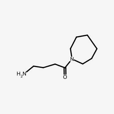 NCCCC(=O)N1CCCCCC1